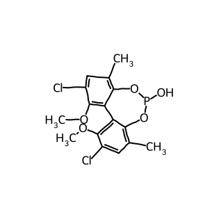 COc1c(Cl)cc(C)c2op(O)oc3c(C)cc(Cl)c(OC)c3c12